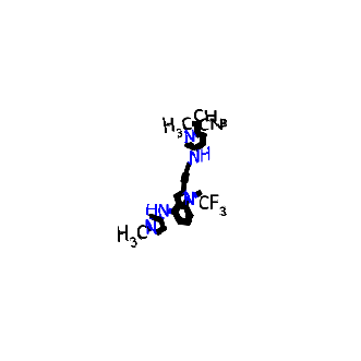 CN1CCC(Nc2cccc3c2cc(C#CCNc2ccc(C(C)(C)C#N)nc2)n3CC(F)(F)F)C1